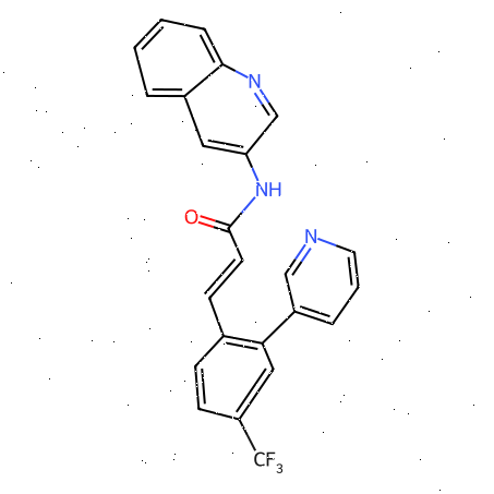 O=C(/C=C/c1ccc(C(F)(F)F)cc1-c1cccnc1)Nc1cnc2ccccc2c1